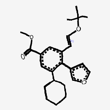 COC(=O)c1cc(/C=C/OC(C)(C)C)c(-c2ccoc2)c(C2CCCCC2)c1